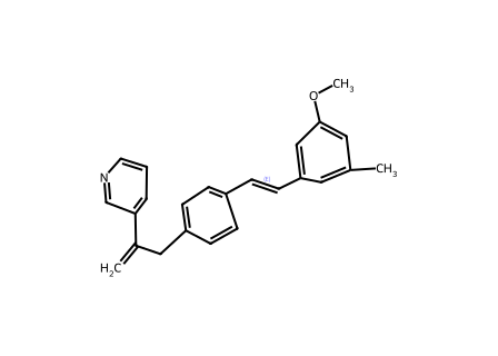 C=C(Cc1ccc(/C=C/c2cc(C)cc(OC)c2)cc1)c1cccnc1